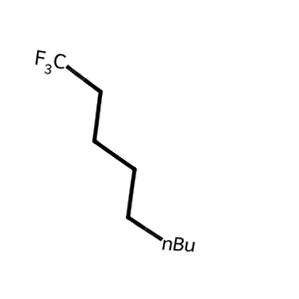 CCCCCCCCC(F)(F)F